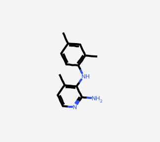 Cc1ccc(Nc2c(C)ccnc2N)c(C)c1